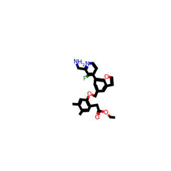 CCOC(=O)Cc1cc(C)c(C)cc1OCc1cc(-c2ccnc(CN)c2F)c2occc2c1